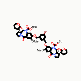 COc1cc2c(cc1OCc1cc(Br)cc(COc3cc4c(cc3OC)C(=O)N3CCC[C@H]3[C@H](OC3CCCCO3)N4C(=O)OC(C)(C)C)c1)N(C(=O)OC(C)(C)C)[C@@H](OC1CCCCO1)[C@@H]1CCCN1C2=O